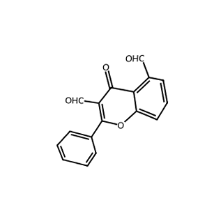 O=Cc1c(-c2ccccc2)oc2cccc(C=O)c2c1=O